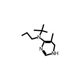 CCCN(C1=C(C)CNC=N1)C(C)(C)C